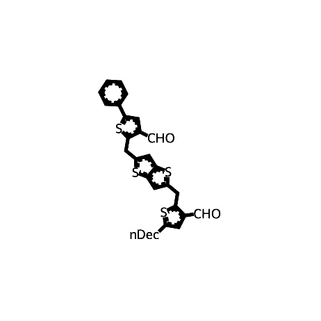 CCCCCCCCCCc1cc(C=O)c(Cc2cc3sc(Cc4sc(-c5ccccc5)cc4C=O)cc3s2)s1